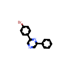 Brc1ccc(-c2cncc(-c3ccccc3)n2)cc1